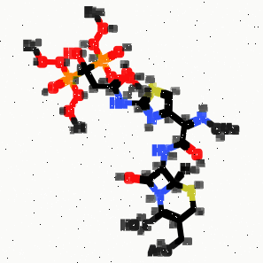 CCOOP(=O)(OOCC)C(O)(CC(=O)Nc1nc(/C(=N/OC)C(=O)N[C@@H]2C(=O)N3C(C(=O)O)=C(COC(C)=O)CS[C@@H]23)cs1)P(=O)(OOCC)OOCC